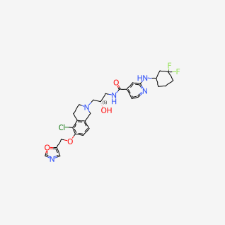 O=C(NC[C@H](O)CN1CCc2c(ccc(OCc3cnco3)c2Cl)C1)c1ccnc(NC2CCCC(F)(F)C2)c1